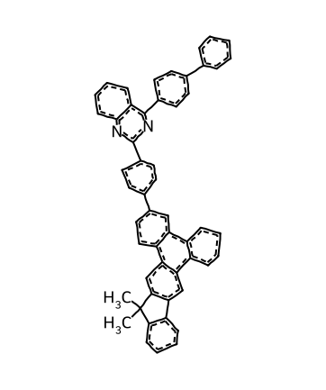 CC1(C)c2ccccc2-c2cc3c4ccccc4c4cc(-c5ccc(-c6nc(-c7ccc(-c8ccccc8)cc7)c7ccccc7n6)cc5)ccc4c3cc21